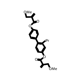 C=C(COC)C(=O)Oc1ccc(-c2ccc(OC(=O)C(=C)COC)cc2C(C)C)cc1